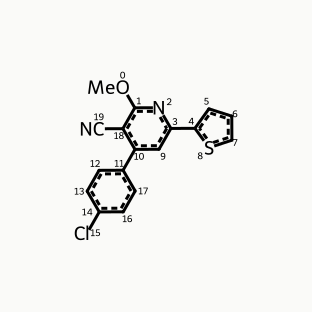 COc1nc(-c2cccs2)cc(-c2ccc(Cl)cc2)c1C#N